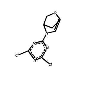 Clc1nc(Cl)nc(N2C=C3CC2CO3)n1